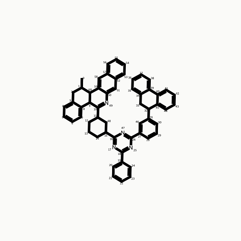 CC1Cc2ccccc2C2C(C3CCCC(c4nc(-c5ccccc5)nc(-c5cccc(C6Cc7ccccc7-c7ccccc76)c5)n4)C3)=Nc3cc4ccccc4cc3C12